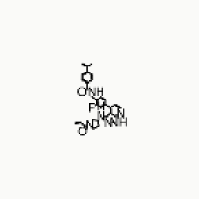 C=CC(=O)N1CCC(Nc2n[nH]c3nccc(-c4ccc(CNC(=O)c5ccc(C(=C)C)cc5)c(F)c4)c23)C1